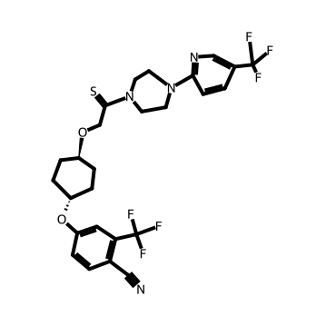 N#Cc1ccc(O[C@H]2CC[C@H](OCC(=S)N3CCN(c4ccc(C(F)(F)F)cn4)CC3)CC2)cc1C(F)(F)F